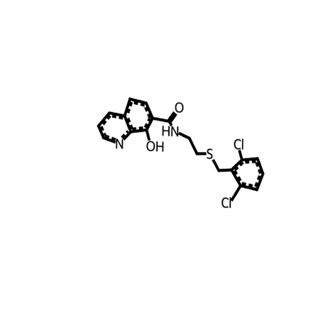 O=C(NCCSCc1c(Cl)cccc1Cl)c1ccc2cccnc2c1O